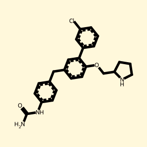 NC(=O)Nc1ccc(Cc2ccc(OCC3CCCN3)c(-c3cccc(Cl)c3)c2)cc1